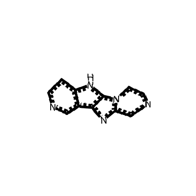 c1cc2[nH]c3c(nc4cnccn43)c2cn1